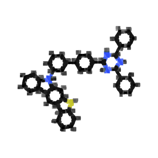 c1ccc(-c2nc(-c3ccccc3)nc(-c3ccc(-c4cccc(-n5c6ccccc6c6cc7c(cc65)sc5ccccc57)c4)cc3)n2)cc1